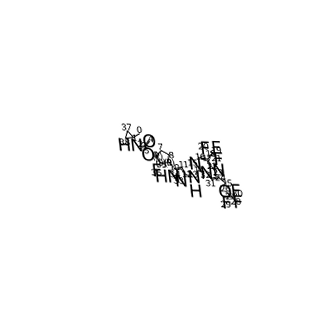 CC1(NC(=O)O[C@@H]2CC[C@H](c3cc(Nc4ncc(C(F)(F)F)c5nc(COC(F)(F)F)cn45)n[nH]3)[C@@H]2F)CC1